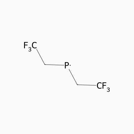 FC(F)(F)C[P]CC(F)(F)F